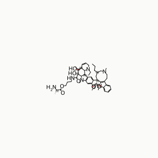 CCC[C@H]1CN(C)CCc2c([nH]c3ccccc23)[C@@](C(=O)OC)(c2cc3c(cc2OC)N(C)C2[C@]34CCN3CC=C[C@](CC)(C34)[C@@H](O)[C@]2(O)C(=O)NCCCOC(=O)[C@H](C)N)C1